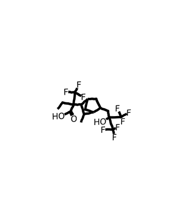 CCC(C(=O)O)(C1C2CC(CC(O)(C(F)(F)F)C(F)(F)F)C(C2)C1C)C(F)(F)F